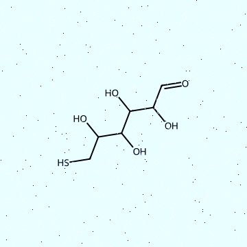 O=CC(O)C(O)C(O)C(O)CS